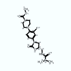 COC(=O)N1CCN(c2ccc(N3C[C@H](CNC(=S)N(C)C)OC3=O)cc2F)CC1